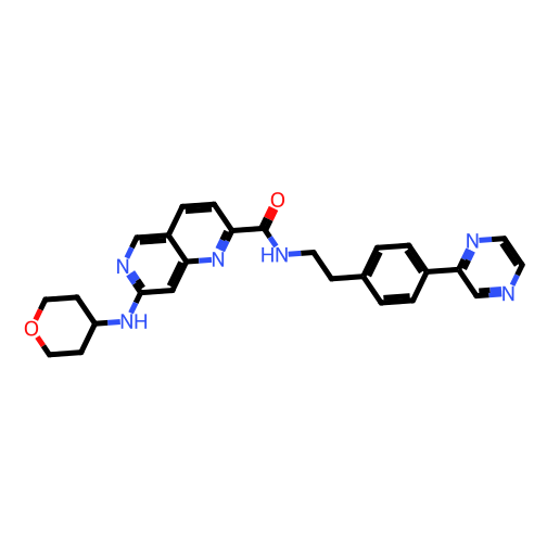 O=C(NCCc1ccc(-c2cnccn2)cc1)c1ccc2cnc(NC3CCOCC3)cc2n1